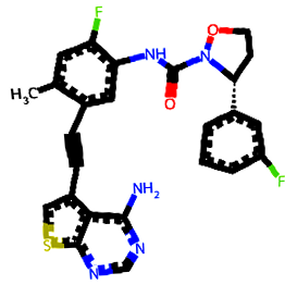 Cc1cc(F)c(NC(=O)N2OCC[C@@H]2c2cccc(F)c2)cc1C#Cc1csc2ncnc(N)c12